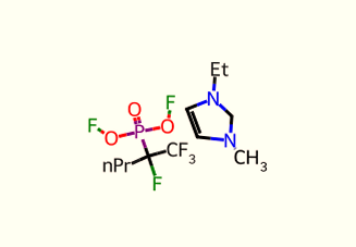 CCCC(F)(C(F)(F)F)P(=O)(OF)OF.CCN1C=CN(C)C1